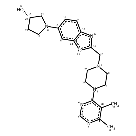 Cc1ncnc(N2CCN(Cc3nc4ccc(N5CC[C@H](O)C5)cc4o3)CC2)c1C